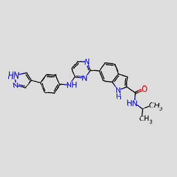 CC(C)NC(=O)c1cc2ccc(-c3nccc(Nc4ccc(-c5cn[nH]c5)cc4)n3)cc2[nH]1